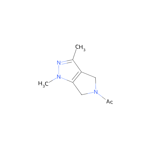 CC(=O)N1Cc2c(C)nn(C)c2C1